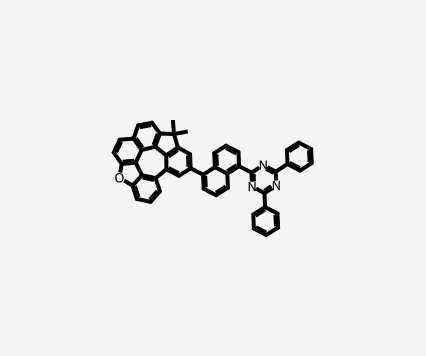 CC1(C)c2cc(-c3cccc4c(-c5nc(-c6ccccc6)nc(-c6ccccc6)n5)cccc34)cc3c2-c2c1ccc1ccc4oc5cccc-3c5c4c21